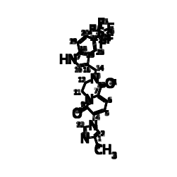 Cc1cn(-c2ccc3n(c2=O)CCN(Cc2c[nH]c4ccc(S(F)(F)(F)(F)F)cc24)C3=O)cn1